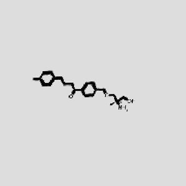 Cc1ccc(CCCC(=O)c2ccc(COC[C@@](C)(N)CO)cc2)cc1